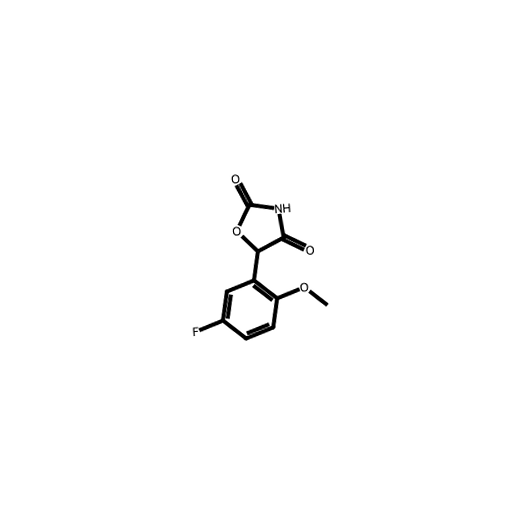 COc1ccc(F)cc1C1OC(=O)NC1=O